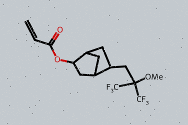 C=CC(=O)OC1CC2CC1CC2CC(OC)(C(F)(F)F)C(F)(F)F